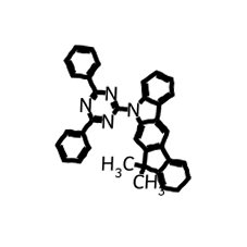 CC1(C)C2=CCCC=C2c2cc3c4ccccc4n(-c4nc(-c5ccccc5)nc(-c5ccccc5)n4)c3cc21